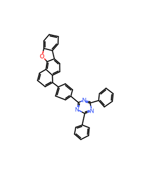 c1ccc(-c2nc(-c3ccccc3)nc(-c3ccc(-c4cccc5c4ccc4c6ccccc6oc54)cc3)n2)cc1